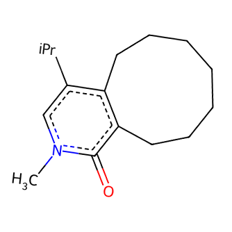 CC(C)c1cn(C)c(=O)c2c1CCCCCCC2